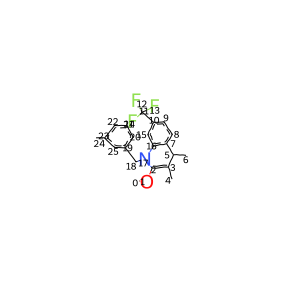 COC1=C(C)C(C)c2ccc(C(F)(F)F)cc2N1Cc1cccc(C)c1